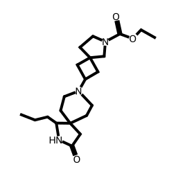 CCCC1NC(=O)CC12CCN(C1CC3(CCN(C(=O)OCC)C3)C1)CC2